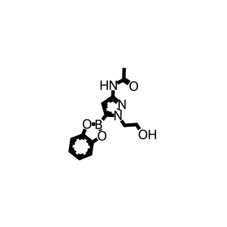 CC(=O)Nc1cc(B2Oc3ccccc3O2)n(CCO)n1